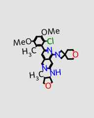 COc1cc(OC)c(Cl)c(-c2cc3cnc(N[C@@H]4COC[C@@H]4C)cc3c(N3CC4(CCOCC4)C3)n2)c1C